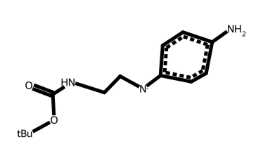 CC(C)(C)OC(=O)NCC[N]c1ccc(N)cc1